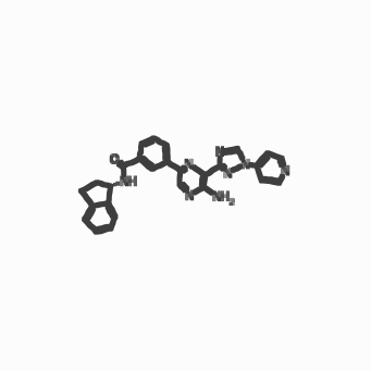 Nc1ncc(-c2cccc(C(=O)N[C@H]3CCc4ccccc43)c2)nc1-c1ncn(-c2ccncc2)n1